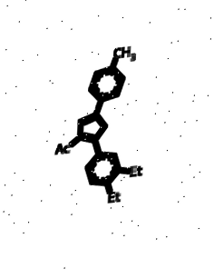 CCc1ccc(C2=C(C(C)=O)C=C(c3ccc(C)cc3)C2)cc1CC